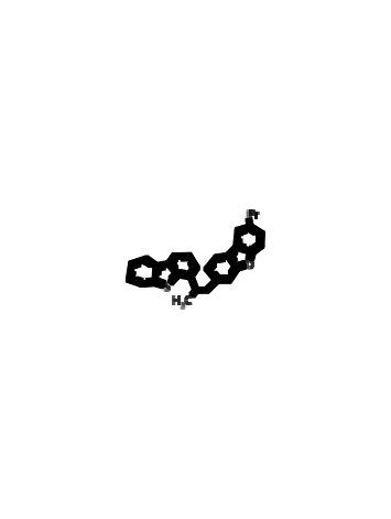 CC(C)c1ccc2oc3cc(CC(C)c4cccc5c4sc4ccccc45)ccc3c2c1